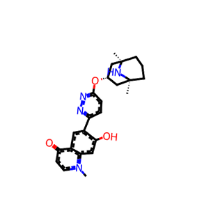 Cn1ccc(=O)c2cc(-c3ccc(O[C@H]4C[C@]5(C)CCC[C@](C)(C4)N5)nn3)c(O)cc21